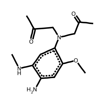 CNc1cc(N(CC(C)=O)CC(C)=O)c(OC)cc1N